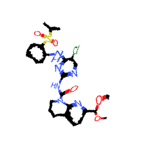 COC(OC)c1ccc2c(n1)N(C(=O)Nc1ncc(Cl)c(Nc3ccccc3S(=O)(=O)C(C)C)n1)CCC2